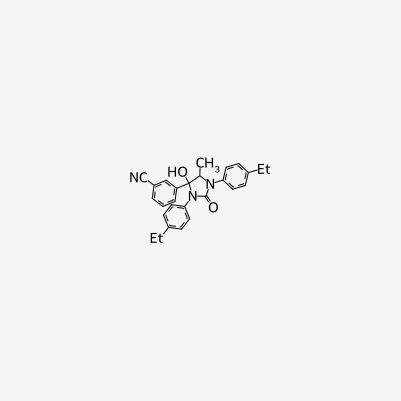 CCc1ccc(N2C(=O)N(c3ccc(CC)cc3)C(O)(c3cccc(C#N)c3)C2C)cc1